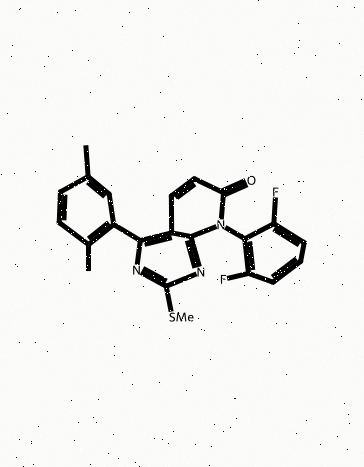 CSc1nc(-c2cc(C)ccc2C)c2ccc(=O)n(-c3c(F)cccc3F)c2n1